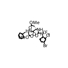 COC(=O)C[C@H](NC(=O)N(c1ccc(Br)cc1Cl)C(F)(F)F)C(=O)N[C@@H](Cc1ccccc1)C(=O)OC